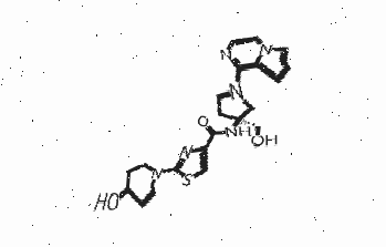 O=C(N[C@@]1(CO)CCN(c2nccn3cccc23)C1)c1csc(N2CCC(O)CC2)n1